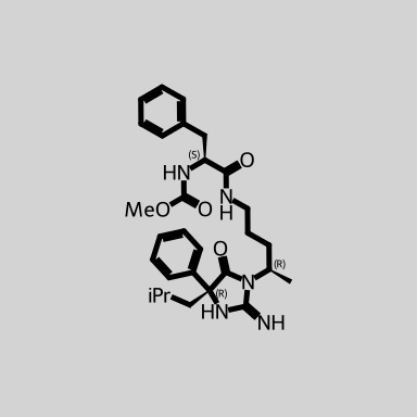 COC(=O)N[C@@H](Cc1ccccc1)C(=O)NCCC[C@@H](C)N1C(=N)N[C@](CC(C)C)(c2ccccc2)C1=O